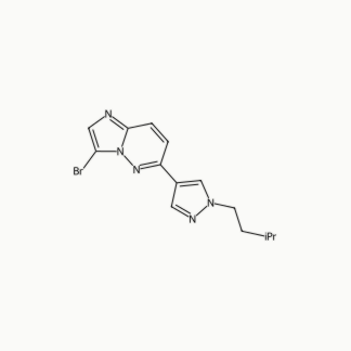 CC(C)CCn1cc(-c2ccc3ncc(Br)n3n2)cn1